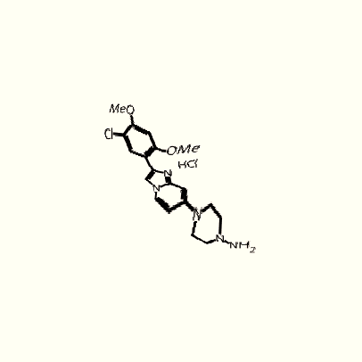 COc1cc(OC)c(-c2cn3ccc(N4CCN(N)CC4)cc3n2)cc1Cl.Cl